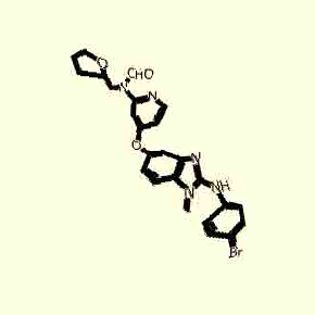 Cn1c(Nc2ccc(Br)cc2)nc2cc(Oc3ccnc(N(C=O)CC4CCCO4)c3)ccc21